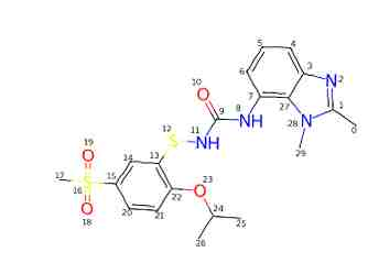 Cc1nc2cccc(NC(=O)NSc3cc(S(C)(=O)=O)ccc3OC(C)C)c2n1C